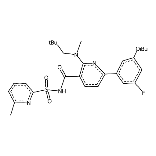 Cc1cccc(S(=O)(=O)NC(=O)c2ccc(-c3cc(F)cc(OCC(C)C)c3)nc2N(C)CC(C)(C)C)n1